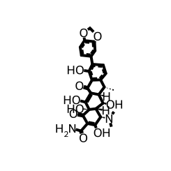 C[C@H]1c2ccc(-c3ccc4c(c3)OCO4)c(O)c2C(=O)C2=C(O)[C@]3(O)C(=O)C(C(N)=O)=C(O)[C@@H](N(C)C)[C@H]3[C@H](O)[C@@H]21